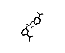 CC(C)c1cccc(OP(Cl)Oc2cccc(C(C)C)c2)c1